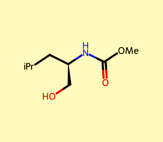 COC(=O)N[C@@H](CO)CC(C)C